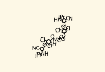 CC(C)Nc1cc(C#N)cc(COc2c(Cl)cc(CC(=O)OC(=O)CNC(=O)c3cc(Cl)c(OCc4cc(C#N)cc(NC(C)C)c4)c(Cl)c3)cc2Cl)c1